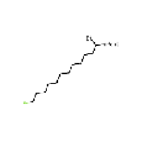 CCCCCC(CC)CCCCCCCCCC[CH]F